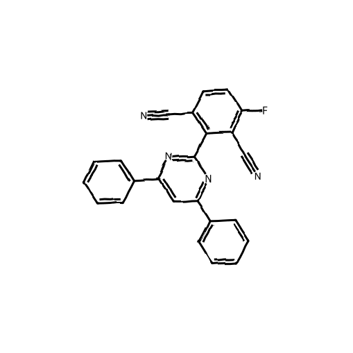 N#Cc1ccc(F)c(C#N)c1-c1nc(-c2ccccc2)cc(-c2ccccc2)n1